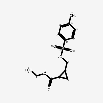 CCOC(=O)C1CC1COS(=O)(=O)c1ccc(C)cc1